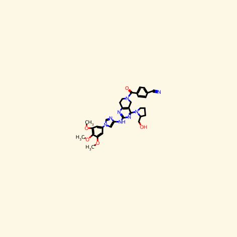 COc1cc(-n2cnc(Nc3nc4c(c(N5CCCC5CO)n3)CN(C(=O)c3ccc(C#N)cc3)CC4)c2)cc(OC)c1OC